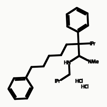 CNC(NCC(C)C)C(CCCCCc1ccccc1)(c1ccccc1)C(C)C.Cl.Cl